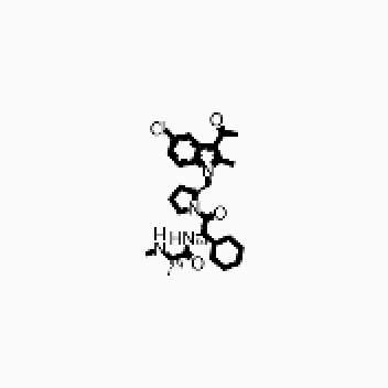 CN[C@@H](C)C(=O)N[C@H](C(=O)N1CCC[C@H]1Cn1c(C)c(C(C)=O)c2cc(Cl)ccc21)C1CCCCC1